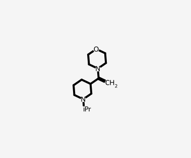 C=C(C1CCCN(C(C)C)C1)N1CCOCC1